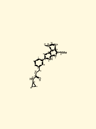 CNc1nc2[nH]c(-c3cccc(COC(=O)NC4CC4)c3)cc2c2c1ncn2C